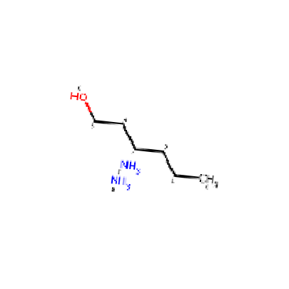 CCCCCCO.N.N